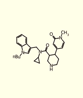 CCCCn1cc(CN(C(=O)C2CNCCC2c2ccn(C)c(=O)c2)C2CC2)c2ccccc21